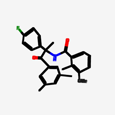 COc1cccc(C(=O)NC(C)(C(=O)c2cc(C)cc(C)c2)c2ccc(F)cc2)c1C